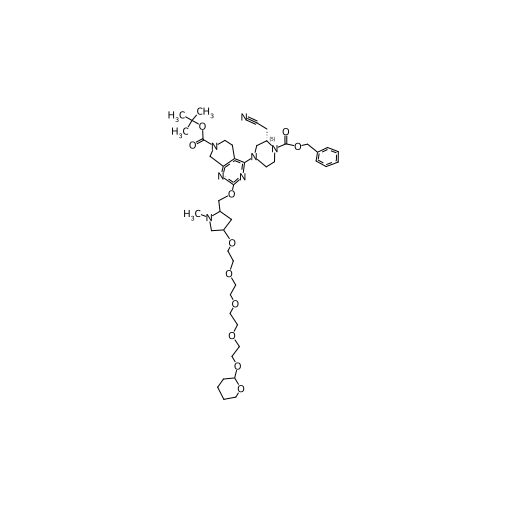 CN1CC(OCCOCCOCCOCCOC2CCCCO2)CC1COc1nc2c(c(N3CCN(C(=O)OCc4ccccc4)[C@@H](CC#N)C3)n1)CCN(C(=O)OC(C)(C)C)C2